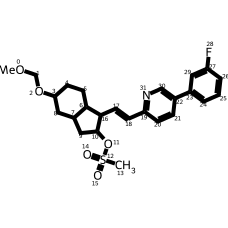 COCOC1CCC2C(C1)CC(OS(C)(=O)=O)C2C=Cc1ccc(-c2cccc(F)c2)cn1